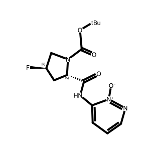 CC(C)(C)OC(=O)N1C[C@H](F)C[C@H]1C(=O)Nc1cccn[n+]1[O-]